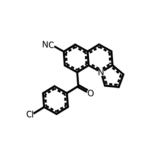 N#Cc1cc(C(=O)c2ccc(Cl)cc2)c2c(ccc3cccn32)c1